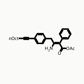 CCCCCCCCC#Cc1ccc(CC(N)=C(C(=O)OC(C)=O)c2ccccc2)cc1